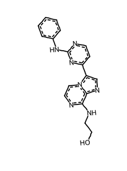 OCCNc1nccn2c(-c3ccnc(Nc4ccccc4)n3)cnc12